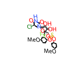 COc1ccc(OP(=S)(OC[C@@]2(C(F)F)O[C@@H](n3cc(Cl)c(=O)[nH]c3=O)[C@H](O)[C@H]2O)Oc2ccc(OC)cc2)cc1